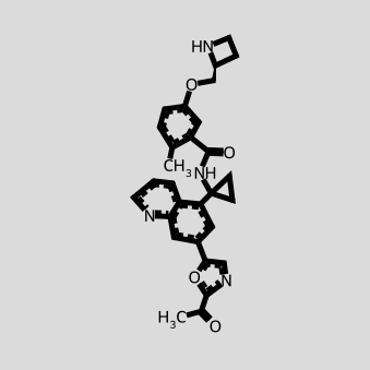 CC(=O)c1ncc(-c2cc(C3(NC(=O)c4cc(OC[C@@H]5CCN5)ccc4C)CC3)c3cccnc3c2)o1